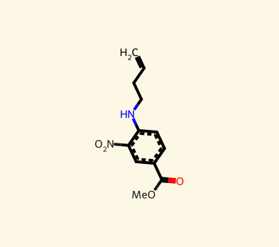 C=CCCNc1ccc(C(=O)OC)cc1[N+](=O)[O-]